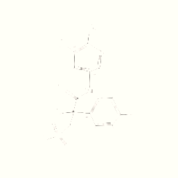 CCS(=O)(=O)CC(O)(C(=O)Nc1cnc(C#N)c(C(F)(F)F)c1)c1ccc(Cl)cc1